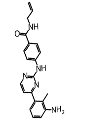 C=CCNC(=O)c1ccc(Nc2nccc(-c3cccc(N)c3C)n2)cc1